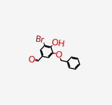 O=Cc1cc(Br)c(O)c(OCc2ccccc2)c1